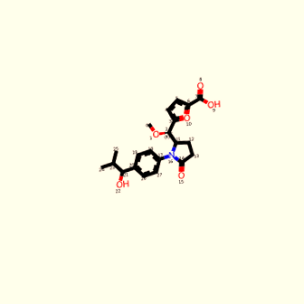 CO[C@@H](c1ccc(C(=O)O)o1)C1CCC(=O)N1c1ccc(C(O)C(C)C)cc1